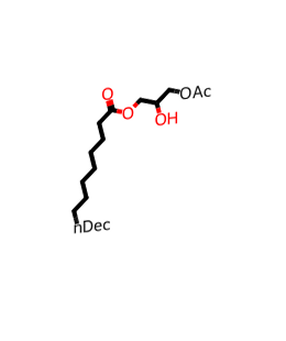 CCCCCCCCCCCCCCCCCC(=O)OCC(O)COC(C)=O